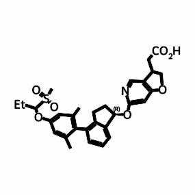 CCC(Oc1cc(C)c(-c2cccc3c2CC[C@H]3Oc2cc3c(cn2)C(CC(=O)O)CO3)c(C)c1)S(C)(=O)=O